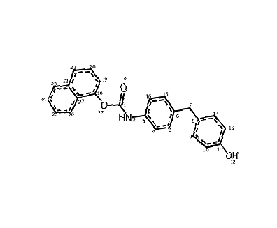 O=C(Nc1ccc(Cc2ccc(O)cc2)cc1)Oc1cccc2ccccc12